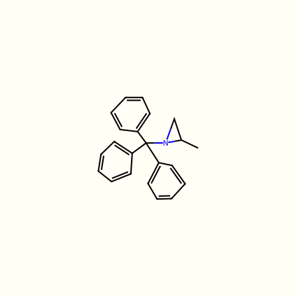 CC1CN1C(c1ccccc1)(c1ccccc1)c1ccccc1